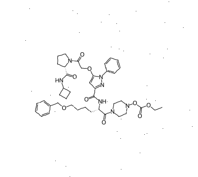 CCOC(=O)ON1CCN(C(=O)[C@H](CCCCOCc2ccccc2)NC(=O)c2cc(OCC(=O)N3CCC[C@H]3C(=O)NC3CCC3)n(-c3ccccc3)n2)CC1